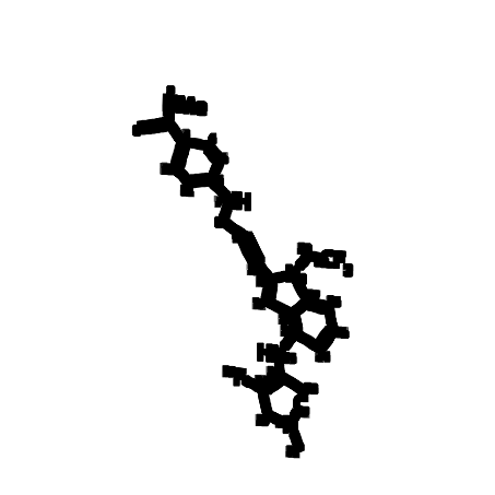 C=C(NC)c1ccc(NCC#Cc2cc3c(NC4=C(F)CN(C)CC4)cccc3n2CC(F)(F)F)cc1